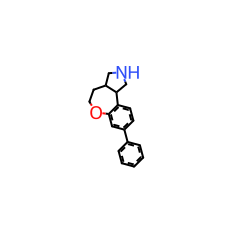 c1ccc(-c2ccc3c(c2)OCCC2CNCC32)cc1